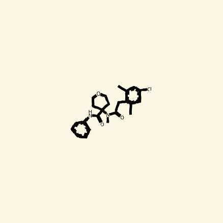 Cc1cc(Cl)cc(C)c1CC(=O)N(C)C1(C(=O)Nc2ccccc2)CCOCC1